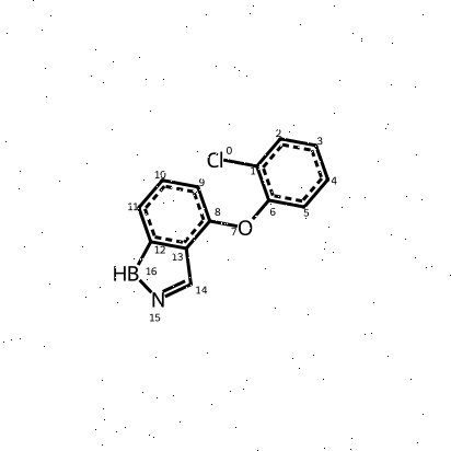 Clc1ccccc1Oc1cccc2c1C=NB2